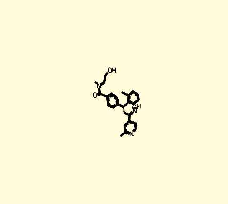 Cc1cc(/C(C[C@H](c2ccc(C(=O)N(C)CCO)cc2)c2ccccc2C)=N/O)ccn1